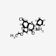 CCOC(=O)CN1C(=O)[C@@H](N)[C@@H](c2ccccc2)Sc2cc(Cl)ccc21